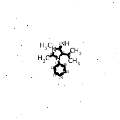 CC(C)C1C(=N)N(C)C(C)N1c1ccccc1